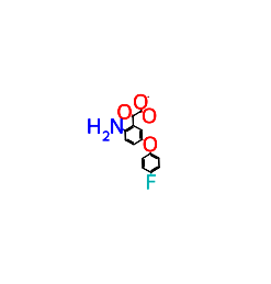 COC(=O)C(=O)c1cc(Oc2ccc(F)cc2)ccc1N